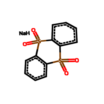 O=S1(=O)c2ccccc2S(=O)(=O)c2ccccc21.[NaH]